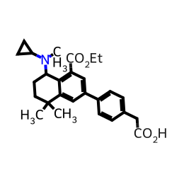 CCOC(=O)c1cc(-c2ccc(CC(=O)O)cc2)cc2c1C(N(C)C1CC1)CCC2(C)C